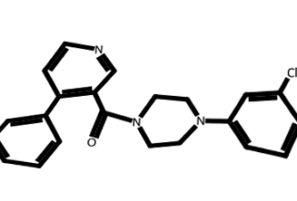 O=C(c1cnccc1-c1ccccc1)N1CCN(c2cccc(Cl)c2)CC1